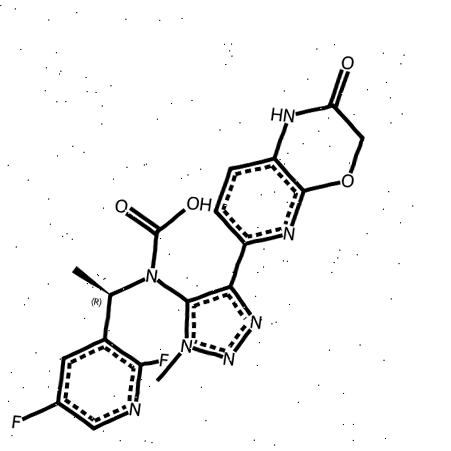 C[C@H](c1cc(F)cnc1F)N(C(=O)O)c1c(-c2ccc3c(n2)OCC(=O)N3)nnn1C